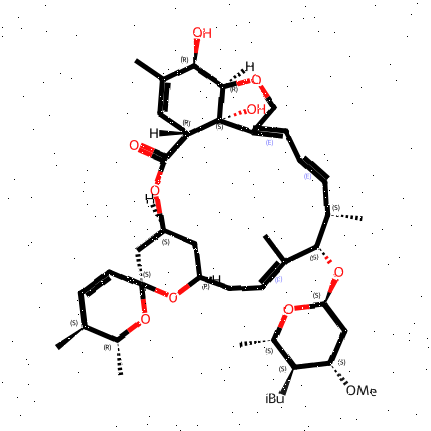 CCC(C)[C@H]1[C@H](C)O[C@@H](O[C@@H]2/C(C)=C/C[C@@H]3C[C@@H](C[C@]4(C=C[C@H](C)[C@@H](C)O4)O3)OC(=O)[C@@H]3C=C(C)[C@@H](O)[C@H]4OC/C(=C\C=C\[C@@H]2C)[C@]43O)C[C@@H]1OC